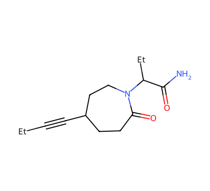 CCC#CC1CCC(=O)N(C(CC)C(N)=O)CC1